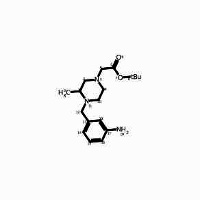 CC1CN(CC(=O)OC(C)(C)C)CCN1Cc1cccc(N)c1